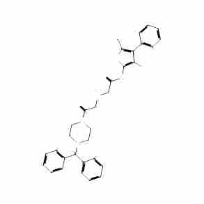 Cc1sc(NC(=O)COCC(=O)N2CCN(C(c3ccccc3)c3ccccc3)CC2)c(C(=O)O)c1-c1ccccc1